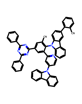 N#Cc1ccccc1-c1ccc2c(c1)c1ccccc1n2-c1c(C#N)cc(-c2nc(-c3ccccc3)nc(-c3ccccc3)n2)cc1-c1cc(-n2c3ccccc3c3ccccc32)ccn1